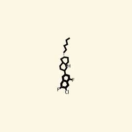 CCCCCC[C@@H]1CC[C@@H]2CC(c3cc(F)c4cc(Cl)c(F)cc4c3)CCC2C1